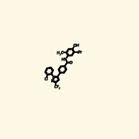 Cc1cc(O)c(C(C)C)cc1NC(=O)c1ccc(-c2cc(C(F)(F)F)nn2-c2ccccc2Cl)cc1